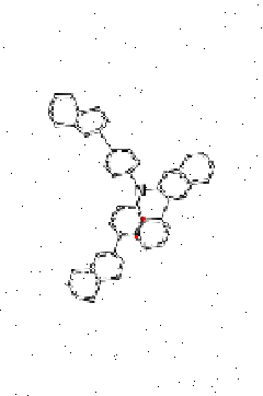 c1ccc(-c2cc3ccccc3cc2N(c2ccc(-c3ccc4ccccc4c3)cc2)c2ccc(-c3ccc4ccccc4c3)cc2)cc1